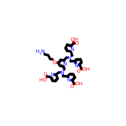 NCCCCOc1cc(CN(Cc2cccc(C(=O)O)n2)Cc2cccc(C(=O)O)n2)nc(CN(Cc2cccc(C(=O)O)n2)Cc2cccc(C(=O)O)n2)c1